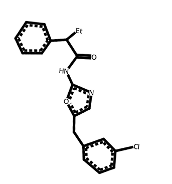 CCC(C(=O)Nc1ncc(Cc2cccc(Cl)c2)o1)c1ccccc1